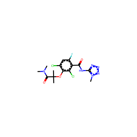 CN(C)C(=O)C(C)(C)Oc1c(Cl)cc(F)c(C(=O)Nc2nnnn2C)c1Cl